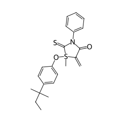 C=C1C(=O)N(c2ccccc2)C(=S)S1(C)Oc1ccc(C(C)(C)CC)cc1